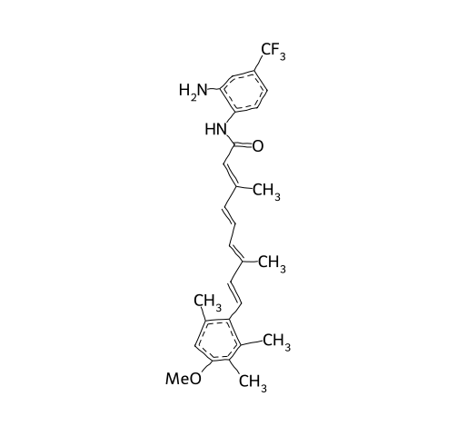 COc1cc(C)c(/C=C/C(C)=C/C=C/C(C)=C/C(=O)Nc2ccc(C(F)(F)F)cc2N)c(C)c1C